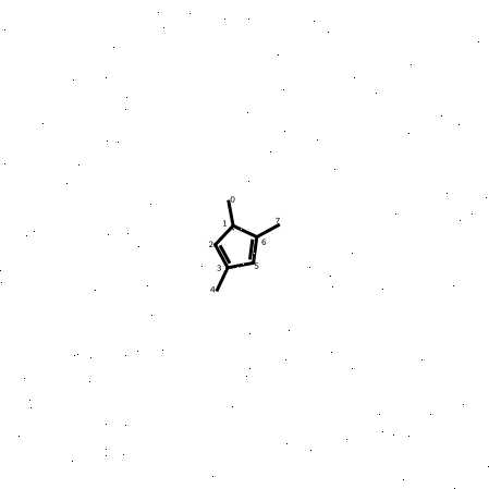 C[C]1C=C(C)C=C1C